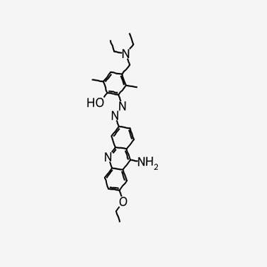 CCOc1ccc2nc3cc(N=Nc4c(C)c(CN(CC)CC)cc(C)c4O)ccc3c(N)c2c1